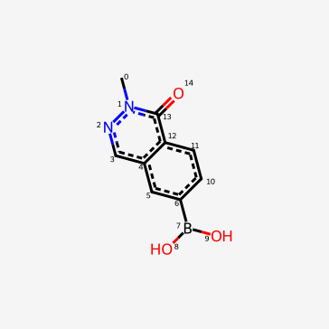 Cn1ncc2cc(B(O)O)ccc2c1=O